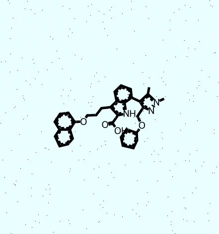 Cc1c(-c2cccc3c(CCCOc4cccc5ccccc45)c(C(=O)O)[nH]c23)c(COc2ccccc2)nn1C